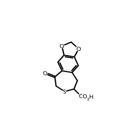 O=C1CSC(C(=O)O)Cc2cc3c(cc21)OCO3